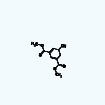 COC(=O)C1=CC(O)CC(C(=O)OC)=C1